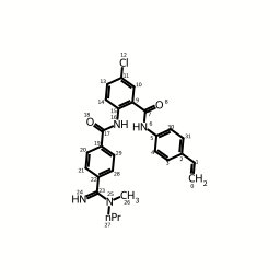 C=Cc1ccc(NC(=O)c2cc(Cl)ccc2NC(=O)c2ccc(C(=N)N(C)CCC)cc2)cc1